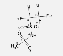 CS(=O)(=O)NS(=O)(=O)C(F)(F)C(F)(F)F